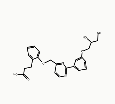 O=C(O)CCc1ccccc1OCc1ccnc(-c2cccc(OCC(O)CO)c2)n1